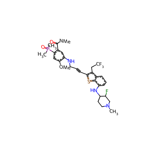 CNC(=O)c1cc(NCC#Cc2sc3c(NC4CCN(C)CC4F)cccc3c2CC(F)(F)F)c(OC)cc1P(C)(C)=O